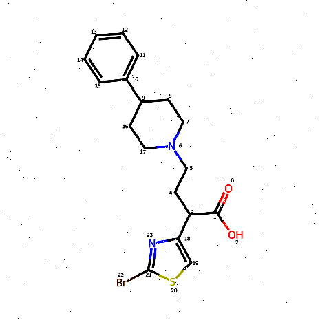 O=C(O)C(CCN1CCC(c2ccccc2)CC1)c1csc(Br)n1